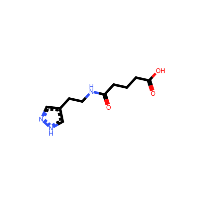 O=C(O)CCCC(=O)NCCc1cn[nH]c1